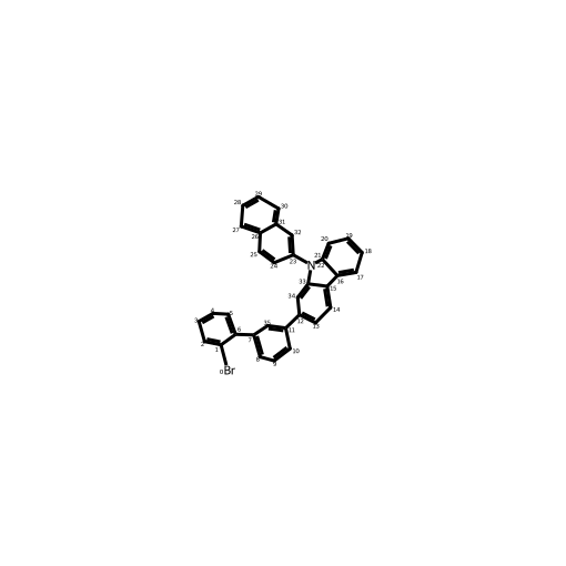 Brc1ccccc1-c1cccc(-c2ccc3c4ccccc4n(-c4ccc5ccccc5c4)c3c2)c1